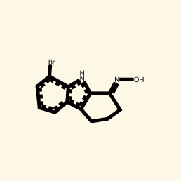 ON=C1CCCc2c1[nH]c1c(Br)cccc21